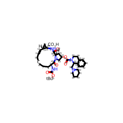 CC(C)(C)OC(=O)N[C@H]1CCCCCC=C[C@@H]2C[C@@]2(C(=O)O)NC(=O)[C@@H]2C[C@@H](OC(=O)N3CCc4ccccc4C3CN3CCCCC3)CN2C1=O